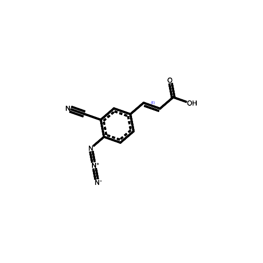 N#Cc1cc(/C=C/C(=O)O)ccc1N=[N+]=[N-]